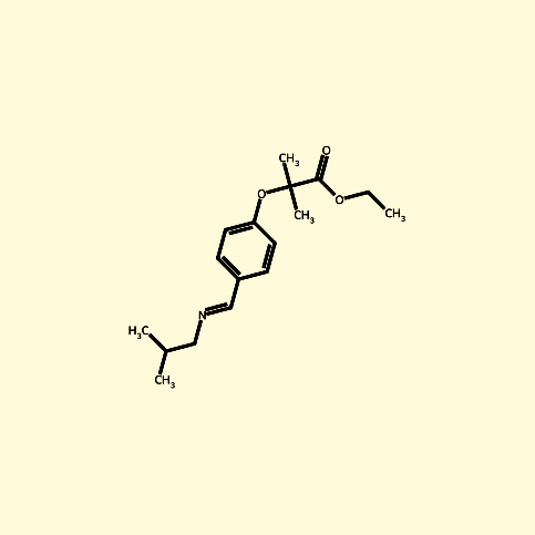 CCOC(=O)C(C)(C)Oc1ccc(C=NCC(C)C)cc1